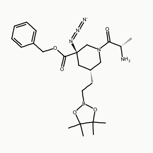 C[C@H](N)C(=O)N1C[C@H](CCB2OC(C)(C)C(C)(C)O2)C[C@](N=[N+]=[N-])(C(=O)OCc2ccccc2)C1